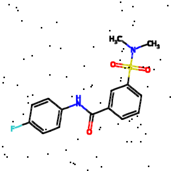 CN(C)S(=O)(=O)c1cccc(C(=O)Nc2ccc(F)cc2)c1